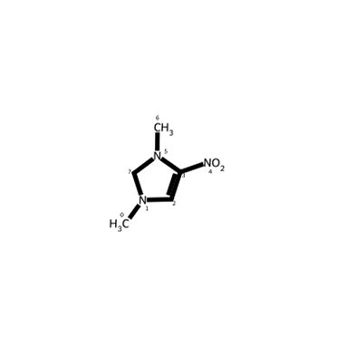 CN1C=C([N+](=O)[O-])N(C)C1